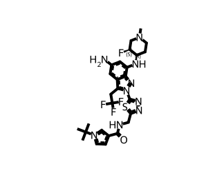 CN1CC[C@@H](Nc2cc(N)cc3c(CC(F)(F)F)n(-c4nnc(CNC(=O)c5ccn(C(C)(C)C)c5)s4)nc23)[C@@H](F)C1